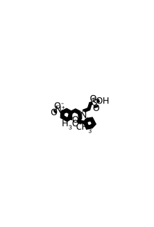 CC1(C)c2ccccc2N(CCCS(=O)(=O)O)C12C=Cc1cc([N+](=O)[O-])ccc1O2